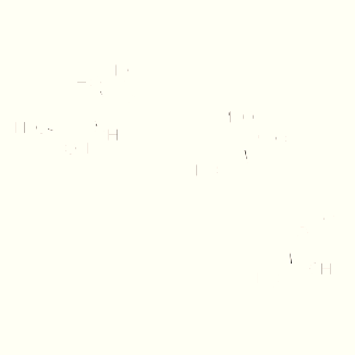 CC(C=Cc1cccc(C=C(C(=O)O)[C@H]2CCCC(=O)O[C@@H](C(C)C)CC=CC[C@@H]2C)c1)=C[C@H](O)[C@@H](O)C[C@H](C)O